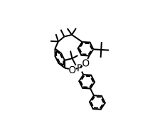 CC1C(C)(C)c2ccc(c(C(C)(C)C)c2)OP(c2ccc(-c3ccccc3)cc2)Oc2ccc(cc2C(C)(C)C)C1(C)C